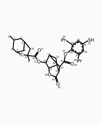 CC1CC2CC(C1)CC(C)(C(=O)OC1C3CC4C1OC(=O)C4C3C(=O)Oc1c(C(C)C)cc(S)cc1C(C)C)C2